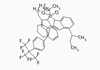 CCC1=Cc2c(-c3ccc(C(C(F)(F)F)(C(F)(F)F)C(F)(F)F)cc3)cccc2[CH]1[Zr]([Cl])([Cl])([CH]1C(C2CCCCC2)=Cc2c(C(C)CC)cccc21)[SiH](C)C